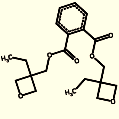 CCC1(COC(=O)c2ccccc2C(=O)OCC2(CC)COC2)COC1